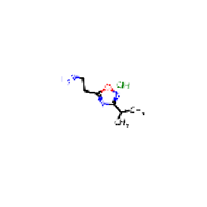 CC(C)c1noc(CCN)n1.Cl